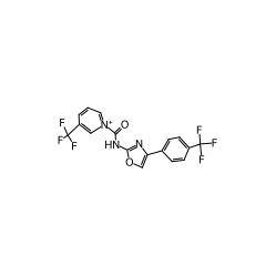 O=C(Nc1nc(-c2ccc(C(F)(F)F)cc2)co1)[n+]1cccc(C(F)(F)F)c1